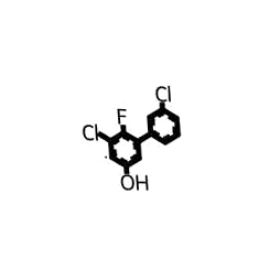 Oc1[c]c(Cl)c(F)c(-c2cccc(Cl)c2)c1